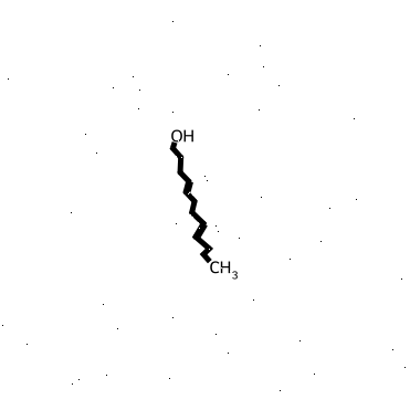 CCCC=CCCC=CCCCO